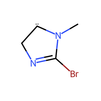 CN1[C]CN=C1Br